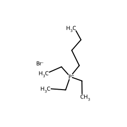 CCCC[P+](CC)(CC)CC.[Br-]